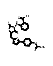 CC(=O)Nc1ccc(-c2ccc(C=C3SC(=S)N(Nc4ccccc4C(=O)O)C3=O)o2)cc1